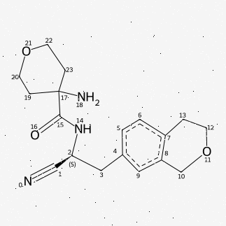 N#C[C@H](Cc1ccc2c(c1)COCC2)NC(=O)C1(N)CCOCC1